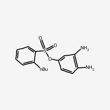 CCCCc1ccccc1S(=O)(=O)Oc1ccc(N)c(N)c1